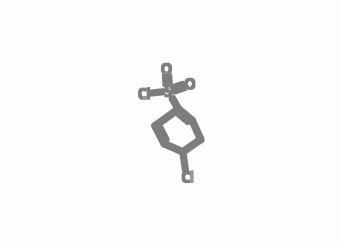 O=S(=O)(Cl)C1=CCC(Cl)C=C1